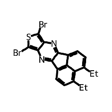 CCc1ccc2c3c(ccc(CC)c13)-c1nc3c(Br)sc(Br)c3nc1-2